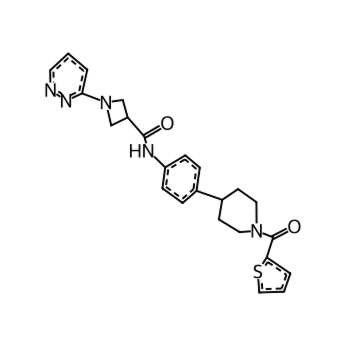 O=C(Nc1ccc(C2CCN(C(=O)c3cccs3)CC2)cc1)C1CN(c2cccnn2)C1